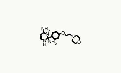 NC1=NC(N)(c2ccc(OCCN3CCOCC3)cc2)NC=C1